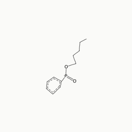 CCCCCO[P](=O)c1ccccc1